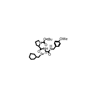 COc1ccc(CNC(=O)[C@H](CSCC2CCCCC2)NC(=O)C2CCCN2C(=O)OC(C)(C)C)cc1